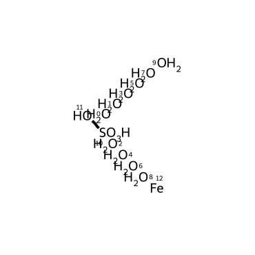 O.O.O.O.O.O.O.O.O.O.O=S(=O)(O)O.[Fe]